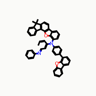 C\C=C/C(=C\C=N\c1ccccc1)N(c1ccc(-c2cccc3c2oc2ccccc23)cc1)c1cccc2c1oc1c3c(ccc12)C(C)(C)c1ccccc1-3